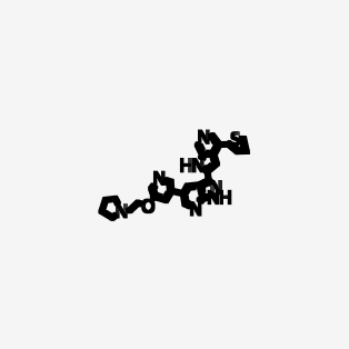 c1csc(-c2cncc3[nH]c(-c4n[nH]c5ncc(-c6cncc(OCCN7CCCC7)c6)cc45)cc23)c1